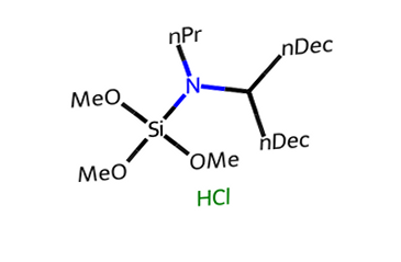 CCCCCCCCCCC(CCCCCCCCCC)N(CCC)[Si](OC)(OC)OC.Cl